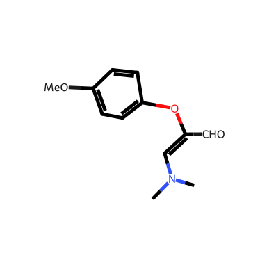 COc1ccc(OC(C=O)=CN(C)C)cc1